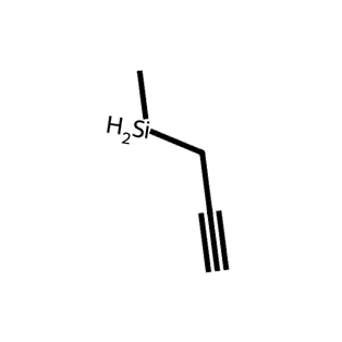 C#CC[SiH2]C